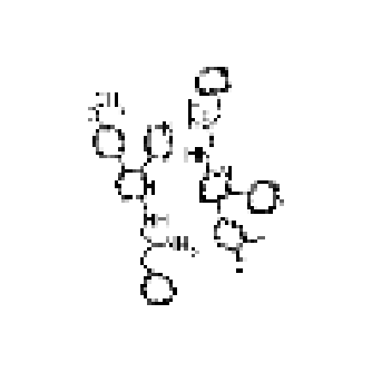 COc1ccc(-c2ccc(NCC(N)Cc3ccccc3)nc2-c2ccncc2)cc1.NC(CNc1ccc(-c2ccc(Cl)c(F)c2)c(-c2ccncc2)n1)Cc1ccccc1